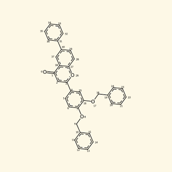 O=c1cc(-c2ccc(OCc3ccccc3)c(OCc3ccccc3)c2)oc2ccc(-c3ccccc3)cc12